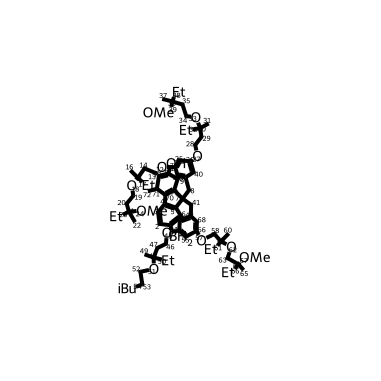 Bc1ccc2c(c1)C(Cc1cc(OCCC(C)(CC)OCCC(C)(CC)OC)cc(OCCC(C)(CC)OCCC(C)(CC)OC)c1)(Cc1cc(OCCC(C)(CC)OCCC(C)CC)cc(OCC(C)(CC)OCC(C)(CC)OC)c1)C1=C2C(C)C=C(O)C1